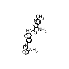 Cc1ccc2c(N)c(C(=O)N[C@H]3COc4cc(N5CC[C@@]6(C5)OCC[C@@H]6N)ccc4C3)sc2n1